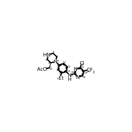 CCc1cc(N2CCNC[C@@H]2COC(C)=O)ccc1Nc1ncc(C(F)(F)F)c(Cl)n1